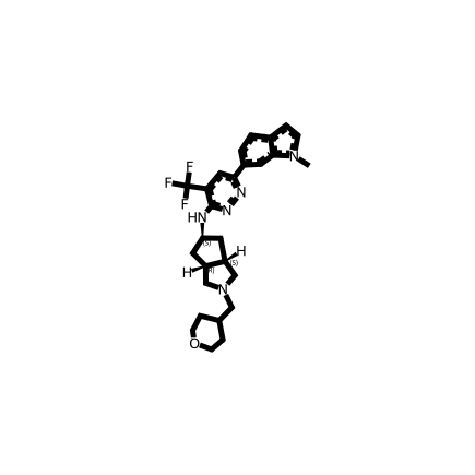 Cn1ccc2ccc(-c3cc(C(F)(F)F)c(N[C@H]4C[C@@H]5CN(CC6CCOCC6)C[C@@H]5C4)nn3)cc21